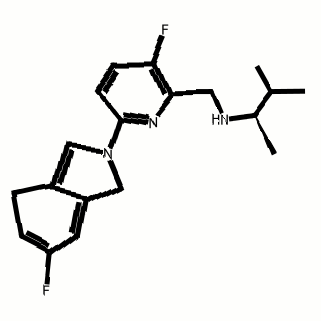 CC(C)[C@@H](C)NCc1nc(N2C=C3CC=C(F)C=C3C2)ccc1F